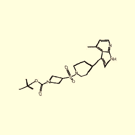 Cc1ccnc2[nH]cc(C3CCN(S(=O)(=O)C4CN(C(=O)OC(C)(C)C)C4)CC3)c12